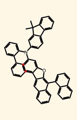 CC1(C)c2ccccc2-c2ccc(N(c3ccc4c(c3)oc3c(-c5cccc6ccccc56)c5ccccc5cc34)c3ccccc3-c3ccccc3)cc21